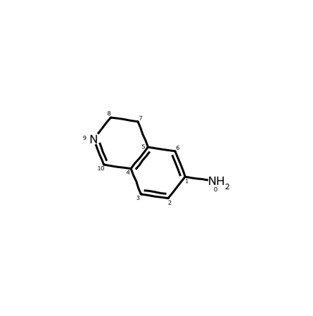 Nc1ccc2c(c1)CCN=C2